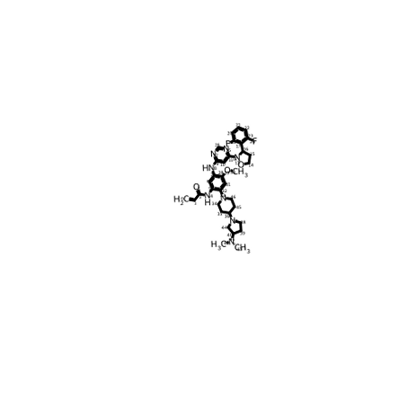 C=CC(=O)Nc1cc(Nc2cc(N3OCCC3c3c(F)cccc3F)ncn2)c(OC)cc1N1CCC(N2CCC(N(C)C)C2)CC1